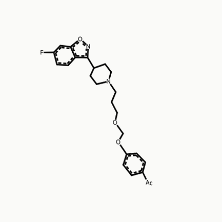 CC(=O)c1ccc(OCOCCCN2CCC(c3noc4cc(F)ccc34)CC2)cc1